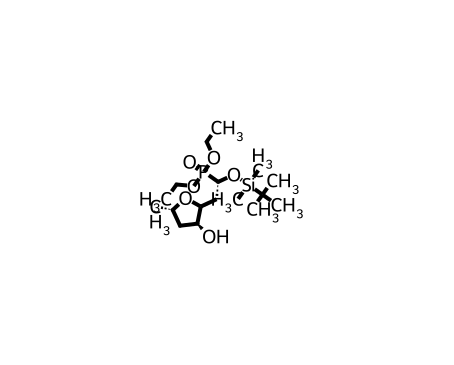 CCOP(=O)(OCC)[C@@H](CC1O[C@@H](C)C[C@@H]1O)O[Si](C)(C)C(C)(C)C